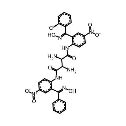 NC(C(=O)Nc1ccc([N+](=O)[O-])cc1C(=NO)c1ccccc1)C(N)C(=O)Nc1ccc([N+](=O)[O-])cc1C(=NO)c1ccccc1Cl